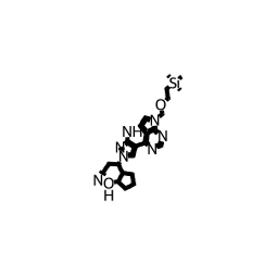 C[Si](C)(C)CCOCn1ccc2c(-c3cn(C(CC#N)C4CCCC4O)nc3N)ncnc21